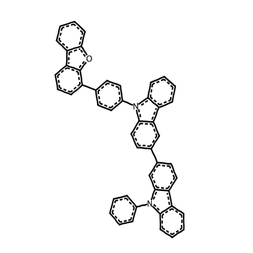 c1ccc(-n2c3ccccc3c3ccc(-c4ccc5c(c4)c4ccccc4n5-c4ccc(-c5cccc6c5oc5ccccc56)cc4)cc32)cc1